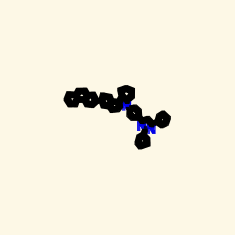 c1ccc(-c2cc(-c3ccc(-n4c5ccccc5c5c6ccc(-c7ccc8c(ccc9ccccc98)c7)cc6ccc54)cc3)nc(-c3ccccc3)n2)cc1